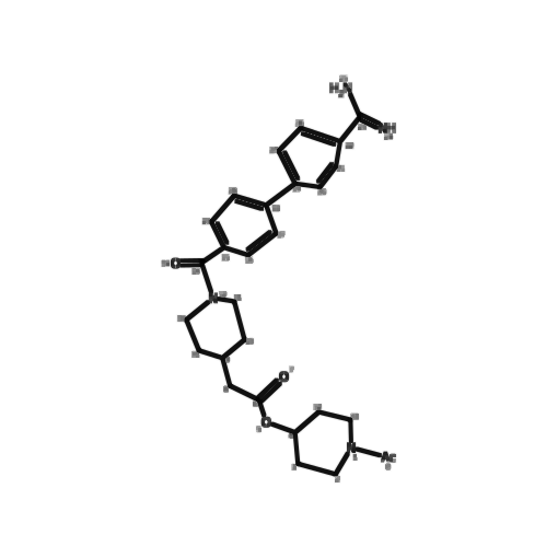 CC(=O)N1CCC(OC(=O)CC2CCN(C(=O)c3ccc(-c4ccc(C(=N)N)cc4)cc3)CC2)CC1